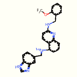 FC(F)(F)Oc1ccccc1CNc1ccc2c(NCc3ccc4[nH]cnc4c3)cccc2n1